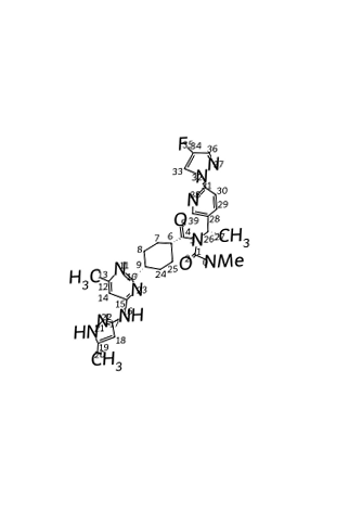 CNC(=O)N(C(=O)[C@H]1CC[C@@H](c2nc(C)cc(Nc3cc(C)[nH]n3)n2)CC1)[C@@H](C)c1ccc(-n2cc(F)cn2)nc1